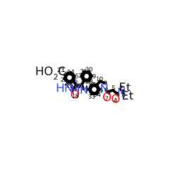 CCN(CC)C(=O)CC(=O)N1CCc2cc(N/C(=C3\C(=O)Nc4cc(C(=O)O)ccc43)c3ccccc3)ccc21